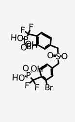 O=P(O)(O)C(F)(F)c1ccc(CS(=O)(=O)Cc2ccc(C(F)(F)P(=O)(O)O)c(Br)c2)cc1Br